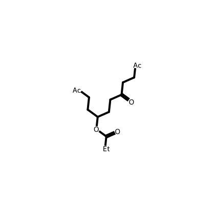 CCC(=O)OC(CCC(C)=O)CCC(=O)CCC(C)=O